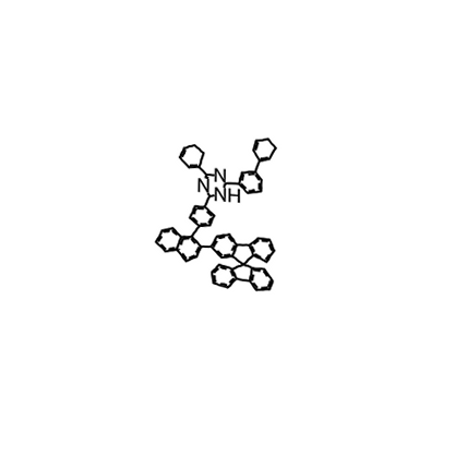 C1=CCCC(C2=NC(c3ccc(-c4c(-c5ccc6c(c5)C5(c7ccccc7-c7ccccc75)c5ccccc5-6)ccc5ccccc45)cc3)NC(c3cccc(C4=CCCC=C4)c3)=N2)=C1